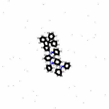 c1ccc(N(c2ccccc2)c2ccc3c(c2)N(c2ccccc2)c2cccc4c2B3c2ccccc2N4c2ccc3c(c2)C(c2ccccc2)(c2ccccc2)c2ccccc2-3)cc1